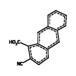 N#Cc1ccc2cc3ccccc3cc2c1C(=O)O